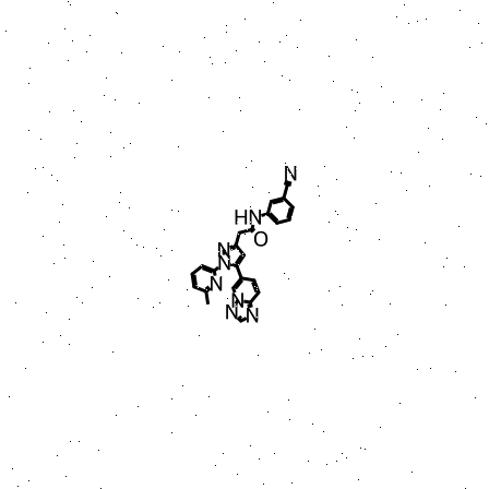 Cc1cccc(-n2nc(CC(=O)Nc3cccc(C#N)c3)cc2-c2ccc3ncnn3c2)n1